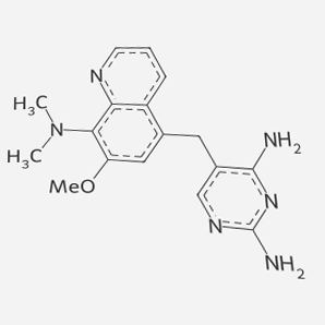 COc1cc(Cc2cnc(N)nc2N)c2cccnc2c1N(C)C